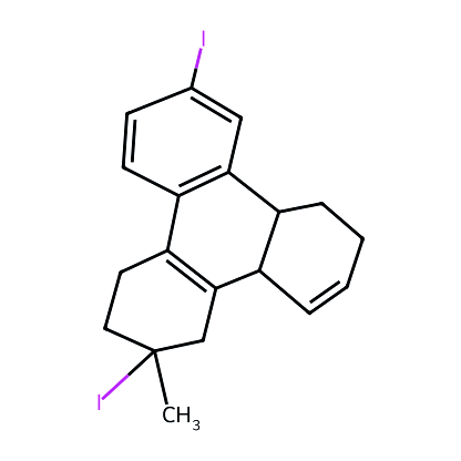 CC1(I)CCC2=C(C1)C1C=CCCC1c1cc(I)ccc12